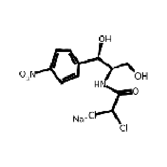 O=C(N[C@H](CO)[C@H](O)c1ccc([N+](=O)[O-])cc1)C(Cl)Cl.[Na+]